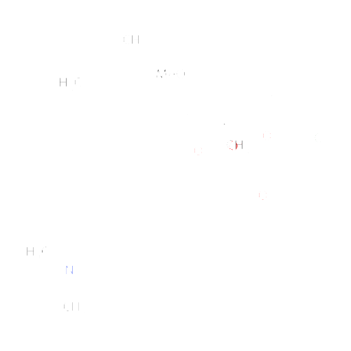 COC1CCCC(CCl)(OOC(=O)C=Cc2ccc(N(C)C)cc2)C1C1(C)OC1CC=C(C)C